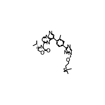 Cc1cc(-c2ncn(COCC[Si](C)(C)C)n2)ccc1-c1cnn2ccc(N3C(=O)OC[C@@H]3C(C)C)nc12